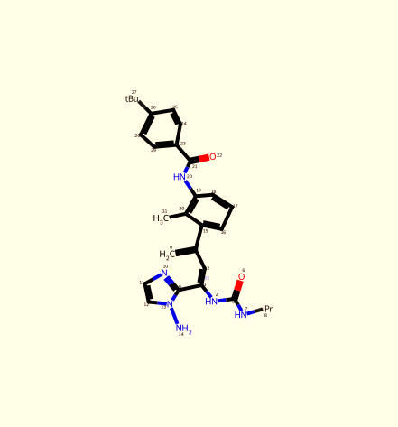 C=C(/C=C(/NC(=O)NC(C)C)c1nccn1N)c1cccc(NC(=O)c2ccc(C(C)(C)C)cc2)c1C